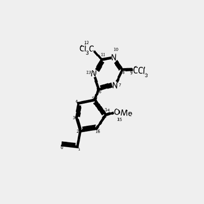 C=Cc1ccc(-c2nc(C(Cl)(Cl)Cl)nc(C(Cl)(Cl)Cl)n2)c(OC)c1